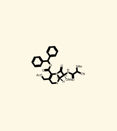 CO[C@@]1(NC(=O)C(C#N)SC)C(=O)N2C(C(=O)OC(c3ccccc3)c3ccccc3)=C(COC(C)=O)CS[C@H]21